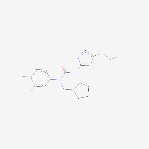 CCOC(=O)CSc1cnc(NC(=O)N(CC2CCCC2)c2ccc(F)c(NC(C)=O)c2)s1